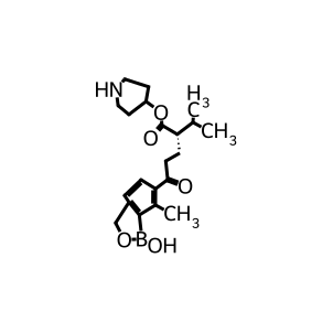 Cc1c(C(=O)CC[C@H](C(=O)OC2CCNCC2)C(C)C)ccc2c1B(O)OC2